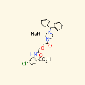 O=C(COCC(=O)N1CCN(C(c2ccccc2)c2ccccc2)CC1)Nc1cc(Cl)ccc1C(=O)O.[NaH]